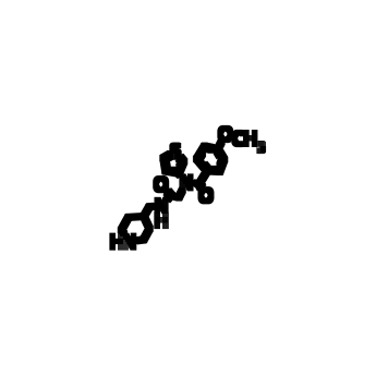 COc1ccc(C(=O)N(CC(=O)NCC2CCNCC2)c2ccsc2)cc1